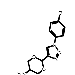 NC1COC(c2cn(-c3ccc(Cl)cc3)nn2)OC1